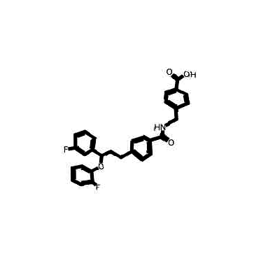 O=C(O)c1ccc(CNC(=O)c2ccc(CCC(Oc3ccccc3F)c3cccc(F)c3)cc2)cc1